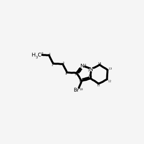 CCCCCc1nn2c(c1Br)CCCC2